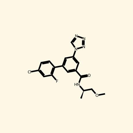 COC[C@@H](C)NC(=O)c1cc(-c2ccc(Cl)cc2F)cc(-n2cnnn2)c1